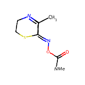 CNC(=O)ON=C1SCCN=C1C